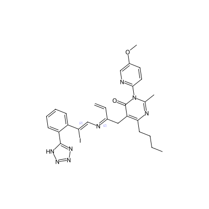 C=C/C(Cc1c(CCCC)nc(C)n(-c2ccc(OC)cn2)c1=O)=N\C=C(/I)c1ccccc1-c1nnn[nH]1